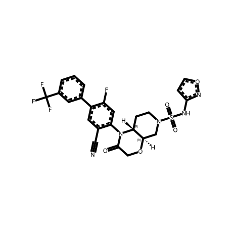 N#Cc1cc(-c2cccc(C(F)(F)F)c2)c(F)cc1N1C(=O)CO[C@@H]2CN(S(=O)(=O)Nc3ccon3)CC[C@H]21